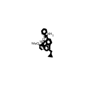 CO[C@]12CC[C@@]3(C[C@@H]1COCc1ccccc1)C1Cc4ccc(C(N)=O)c5c4[C@@]3(CCN1CC1CC1)[C@H]2O5